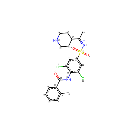 C/C(=N/S(=O)(=O)c1cc(Cl)c(NC(=O)c2ccccc2C)c(Cl)c1)C1CCNCC1